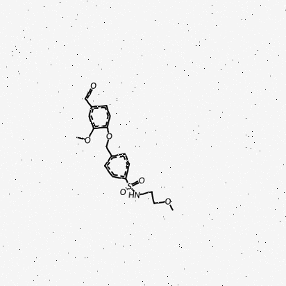 COCCNS(=O)(=O)c1ccc(COc2ccc(C=O)cc2OC)cc1